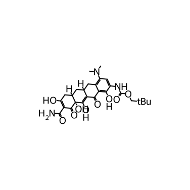 CN(C)c1cc(NC(=O)OCC(C)(C)C)c(O)c2c1C[C@H]1C[C@H]3CC(O)=C(C(N)=O)C(=O)[C@@]3(O)C(O)=C1C2=O